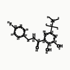 CN(C)C(C)(C)c1nc(O)c(O)c(C(=O)NCc2ccc(F)cc2)n1